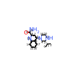 CC(C)[C@@H]1CN(c2cc(C(N)=O)nc3cc[c]cc23)CCN1